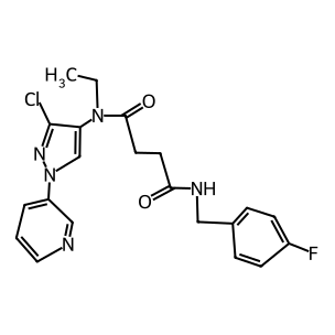 CCN(C(=O)CCC(=O)NCc1ccc(F)cc1)c1cn(-c2cccnc2)nc1Cl